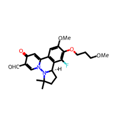 COCCCOc1c(OC)cc2c(c1F)[C@H]1CCC(C)(C)N1n1cc(C=O)c(=O)cc1-2